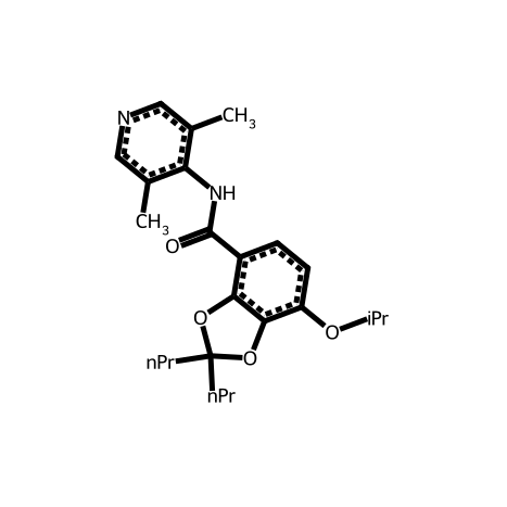 CCCC1(CCC)Oc2c(OC(C)C)ccc(C(=O)Nc3c(C)cncc3C)c2O1